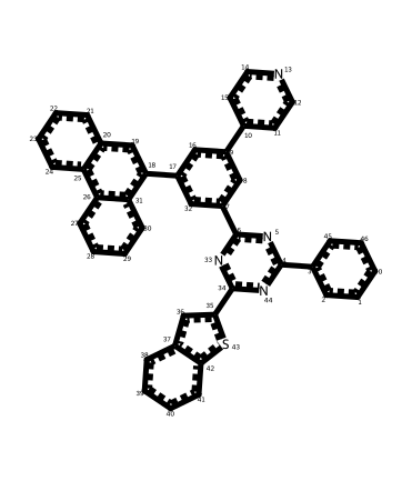 c1ccc(-c2nc(-c3cc(-c4ccncc4)cc(-c4cc5ccccc5c5ccccc45)c3)nc(-c3cc4ccccc4s3)n2)cc1